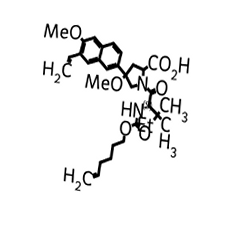 C=CCCCCOC(=O)N[C@H](C(=O)N1CC(OC)(c2ccc3cc(OC)c(C=C)cc3c2)CC1C(=O)O)C(C)(C)CC